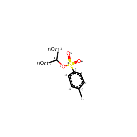 CCCCCCCCC(CCCCCCCC)OS(=O)(=O)c1ccc(C)cc1